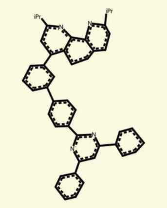 CC(C)c1ccc2ccc3c(-c4cccc(-c5ccc(-c6nc(-c7ccccc7)cc(-c7ccccc7)n6)cc5)c4)cc(C(C)C)nc3c2n1